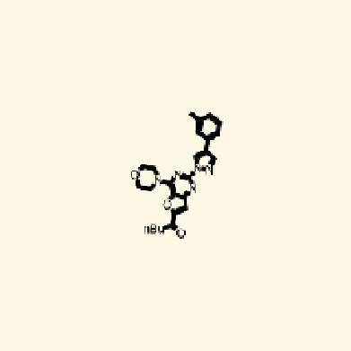 CCCCC(=O)c1cc2nc(-n3cc(-c4cccc(C)c4)cn3)nc(N3CCOCC3)c2o1